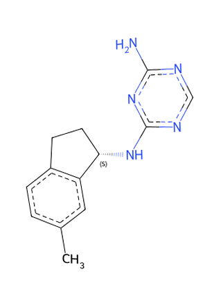 Cc1ccc2c(c1)[C@@H](Nc1ncnc(N)n1)CC2